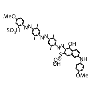 COc1ccc(Nc2ccc3c(O)c(N=Nc4cc(C)c(N=Nc5cc(C)c(N=Nc6ccc(OC)cc6S(=O)(=O)O)cc5C)cc4C)c(SOOO)cc3c2)cc1